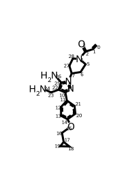 C=CC(=O)N1CCC(n2nc(-c3ccc(OCC4CC4)cc3)c(CN)c2N)CC1